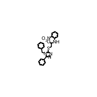 O=C(CSc1nnc(-c2ccccc2)n1Cc1ccccc1)Nc1ccccc1[N+](=O)[O-]